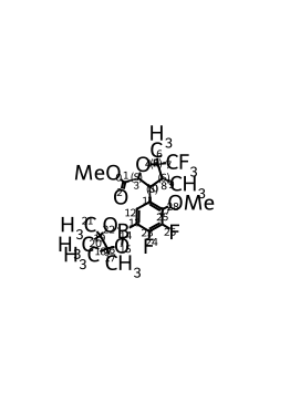 COC(=O)[C@H]1O[C@@](C)(C(F)(F)F)[C@@H](C)[C@H]1c1cc(B2OC(C)(C)C(C)(C)O2)c(F)c(F)c1OC